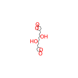 O=C1CCC(CCC(O)CCC(O)CCC2CCC(=O)OC2)CO1